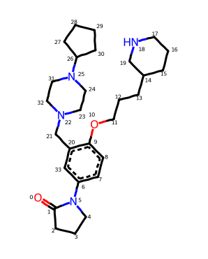 O=C1CCCN1c1ccc(OCCCC2CCCNC2)c(CN2CCN(C3CCCC3)CC2)c1